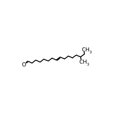 CCC(C)CCCCC=CCCCCCCC=O